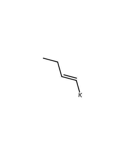 CCC=[CH][K]